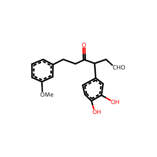 COc1cccc(CCC(=O)C(CC=O)c2ccc(O)c(O)c2)c1